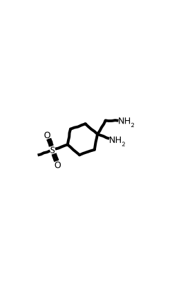 CS(=O)(=O)C1CCC(N)(CN)CC1